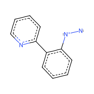 [N][N+]c1ccccc1-c1ccccn1